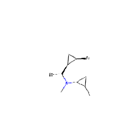 CCC([C@H]1C[C@H]1CC)N(C)C1CC1C